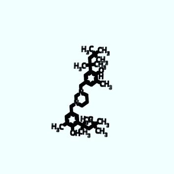 Cc1cc(CN2CCCN(Cc3cc(C)c(O)c(C(C)(C)CC(C)(C)C)c3)C2)cc(C(C)(C)CC(C)(C)C)c1O